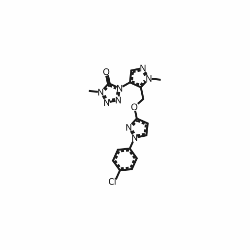 Cn1ncc(-n2nnn(C)c2=O)c1COc1ccn(-c2ccc(Cl)cc2)n1